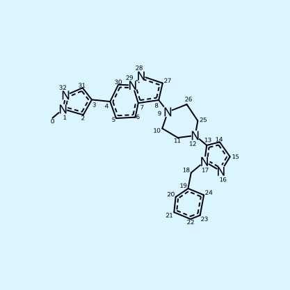 Cn1cc(-c2ccc3c(N4CCN(c5ccnn5Cc5ccccc5)CC4)cnn3c2)cn1